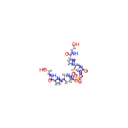 O=C(NCCO)c1ccn(C2=CC3CN(C2)C(=O)N3OS(=O)(=O)ON2C(=O)N3CC(n4ccc(C(=O)NCCO)n4)=CC2C3)n1